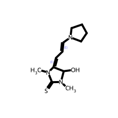 CN1C(=S)N(C)C(O)/C1=C\C=C\N1CCCC1